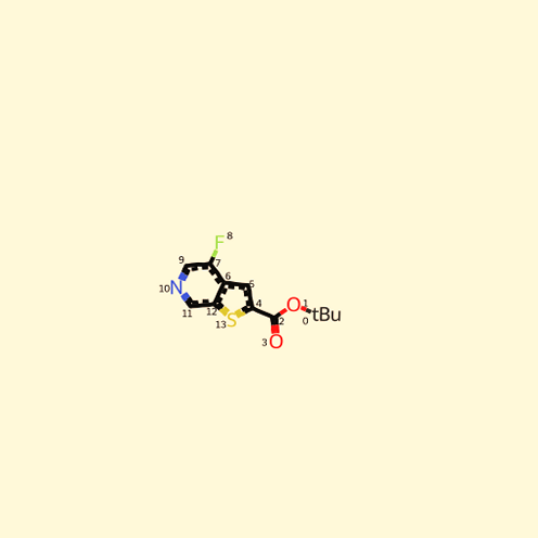 CC(C)(C)OC(=O)c1cc2c(F)cncc2s1